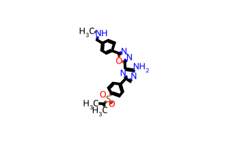 CNCc1ccc(-c2nnc(-c3nc(-c4ccc(S(=O)(=O)C(C)C)cc4)cnc3N)o2)cc1